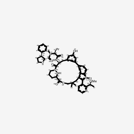 CCn1c(-c2cccnc2[C@H](C)OC)c2c3cc(ccc31)-c1cc(O)cc(c1)C[C@H](NC(=O)[C@H](C(C)C)N(C)C(=O)[C@@H]1OCC[C@H]1c1ccccc1)C(=O)N1CCC[C@@](O)(N1)C(=O)OCC(C)(C)C2